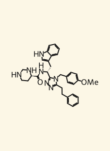 COc1ccc(Cn2c(CCc3ccccc3)nnc2[C@@H](Cc2c[nH]c3ccccc23)NC(=O)[C@H]2CCNCN2)cc1